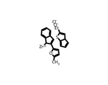 CCC1=CC2C=CC=C2S1.Cc1ccc(C2=Cc3ccccc3[CH]2[Zr+2])o1.[Cl-].[Cl-]